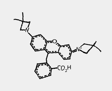 CC1(C)CN(c2ccc3c(-c4ccccc4C(=O)O)c4ccc(=[N+]5CC(C)(C)C5)cc-4oc3c2)C1